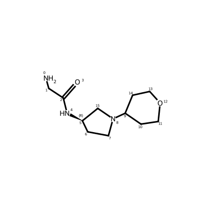 NCC(=O)N[C@@H]1CCN(C2CCOCC2)C1